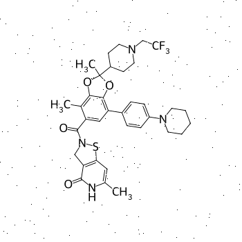 Cc1cc2c(c(=O)[nH]1)CN(C(=O)c1cc(-c3ccc(N4CCCCC4)cc3)c3c(c1C)OC(C)(C1CCN(CC(F)(F)F)CC1)O3)S2